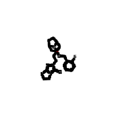 O=c1n(CCCN2C3CCC2CC(OCc2ccccc2F)C3)nc2n1CCS2